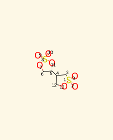 O=S1(=O)CC(C2COS(=O)(=O)O2)CO1